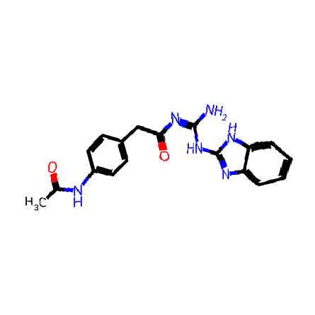 CC(=O)Nc1ccc(CC(=O)/N=C(/N)Nc2nc3ccccc3[nH]2)cc1